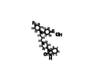 Cl.O=c1[nH]c2ccccc2n1C1=CCN(CCCN(c2ccc(F)cc2)c2ccc(F)cc2)CC1